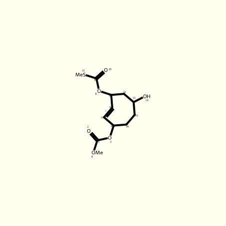 COC(=O)OC1/C=C/C(OC(=O)SC)CC(O)CC1